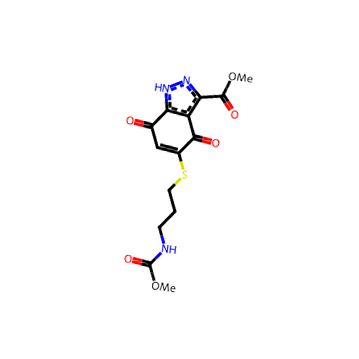 COC(=O)NCCCSC1=CC(=O)c2[nH]nc(C(=O)OC)c2C1=O